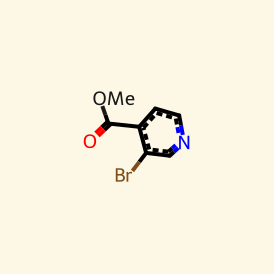 COC(=O)c1ccncc1Br